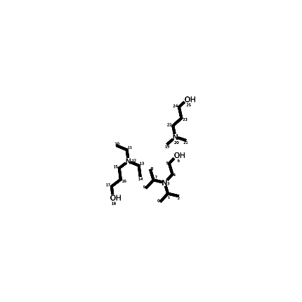 CC(C)N(CCO)C(C)C.CCN(CC)CCCO.CN(C)CCCO